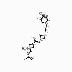 CC(=O)OCC1(N)CN(C(=O)O[C@H]2C[C@@H](COCc3ccc(Cl)c(C)c3)C2)C1